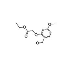 CCOC(=O)COc1cc(OC)ccc1C=O